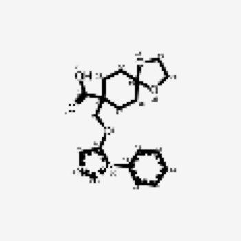 O=C(O)C1(COc2cnnn2-c2ccccc2)CCC2(CC1)OCCO2